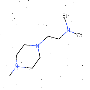 [CH2]N1CCN(CCN(CC)CC)CC1